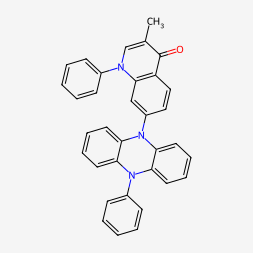 Cc1cn(-c2ccccc2)c2cc(N3c4ccccc4N(c4ccccc4)c4ccccc43)ccc2c1=O